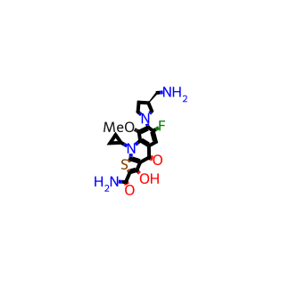 COc1c(N2CC[C@@H](CN)C2)c(F)cc2c(=O)c3c(O)c(C(N)=O)sc3n(C3CC3)c12